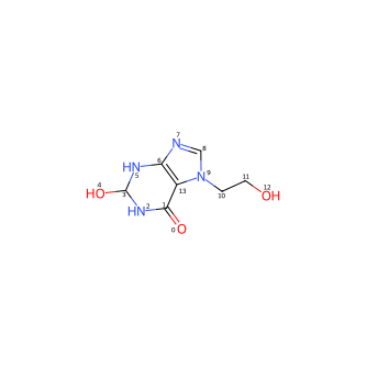 O=C1NC(O)Nc2ncn(CCO)c21